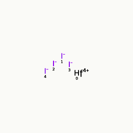 [Hf+4].[I-].[I-].[I-].[I-]